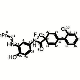 CCCSNc1cc(NC(=O)C2(C(F)(F)F)C=CC(c3ccccc3Cl)=CC2)ccc1O